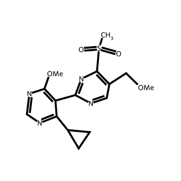 COCc1cnc(-c2c(OC)ncnc2C2CC2)nc1S(C)(=O)=O